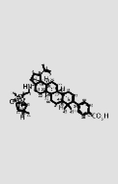 C=C(C)[C@@H]1CC[C@]2(NCCN3CC4[C@@H](C)C3N4S(C)(=O)=O)CC[C@]3(C)[C@H](CC[C@@H]4[C@@]5(C)CC=C(c6ccc(C(=O)O)cc6)C(C)(C)[C@@H]5CC[C@]43C)[C@@H]12